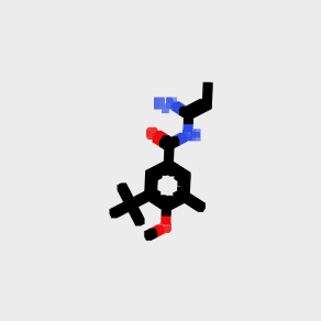 CC=C(N)NC(=O)c1cc(C)c(OC)c(C(C)(C)C)c1